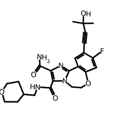 CC(C)(O)C#Cc1cc2c(cc1F)OCCn1c-2nc(C(N)=O)c1C(=O)NCC1CCOCC1